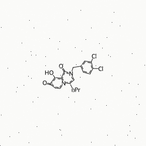 CCCc1cn(Cc2ccc(Cl)c(Cl)c2)c(=O)c2c(O)c(=O)ccn12